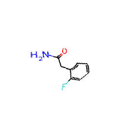 NC(=O)Cc1ccccc1F